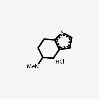 CNC1CCc2sccc2C1.Cl